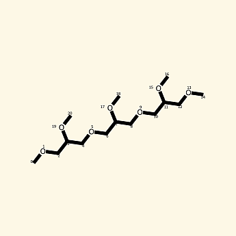 COCC(COCC(COCC(COC)OC)OC)OC